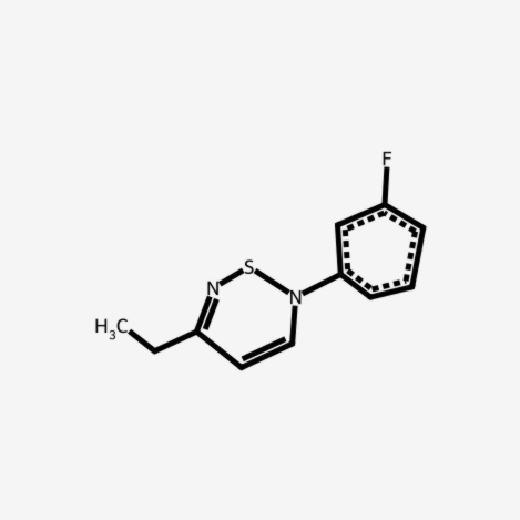 CCC1=NSN(c2cccc(F)c2)C=C1